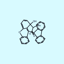 CC(C)(C)C(C([O])=O)C1(O)C=CC=C2Oc3ccccc3C(C3c4ccccc4-c4ccccc43)=C21